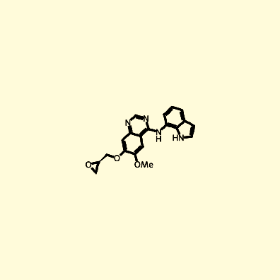 COc1cc2c(Nc3cccc4cc[nH]c34)ncnc2cc1OC[C@H]1CO1